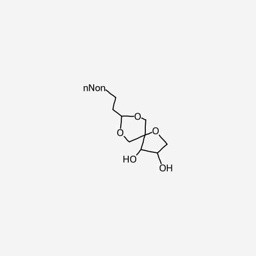 CCCCCCCCCCCC1OCC2(CO1)OCC(O)C2O